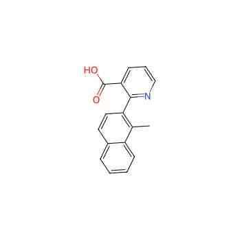 Cc1c(-c2ncccc2C(=O)O)ccc2ccccc12